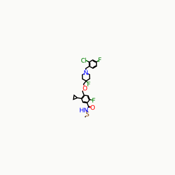 CSNC(=O)c1cc(C2CC2)c(COCC2(F)CCN(Cc3ccc(F)cc3Cl)CC2)cc1F